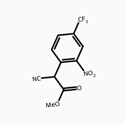 COC(=O)C(C#N)c1ccc(C(F)(F)F)cc1[N+](=O)[O-]